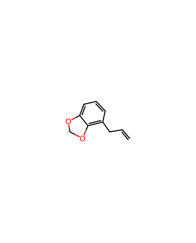 C=CCc1cccc2c1O[CH]O2